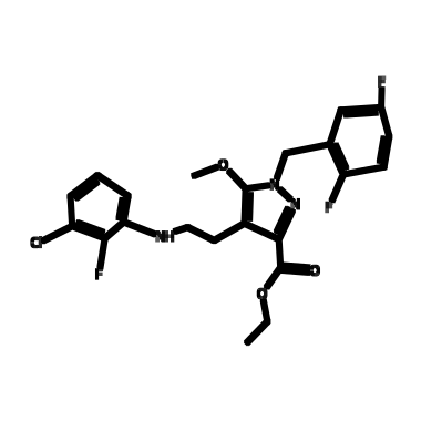 CCOC(=O)c1nn(Cc2cc(F)ccc2F)c(OC)c1CCNc1cccc(Cl)c1F